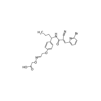 CCCC(NC(=O)/C(C#N)=C/c1cccc(Br)n1)c1ccc(OCC=NOCC(=O)O)cc1